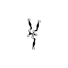 CCC#CCOC(=O)P(=O)(OCC#CCC)OCC#CCC